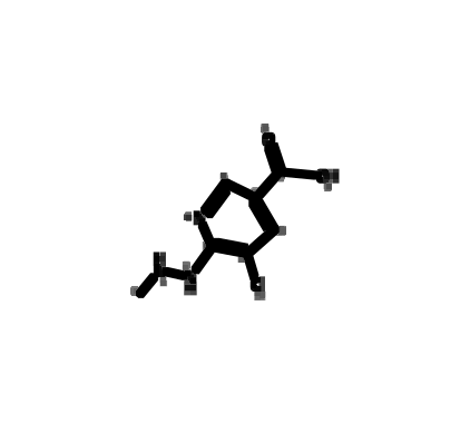 CNNc1ncc(C(=O)O)cc1Cl